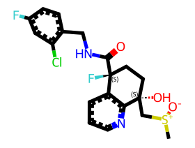 C[S+]([O-])C[C@]1(O)CC[C@@](F)(C(=O)NCc2ccc(F)cc2Cl)c2cccnc21